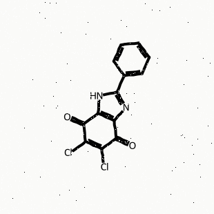 O=C1C(Cl)=C(Cl)C(=O)c2[nH]c(-c3ccccc3)nc21